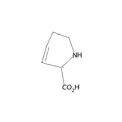 O=C(O)[C]1C=CCCN1